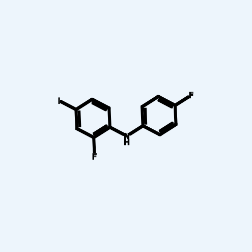 Fc1ccc(Nc2ccc(I)cc2F)cc1